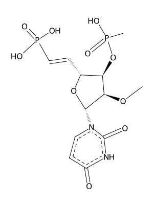 CO[C@@H]1[C@H](OP(C)(=O)O)[C@@H](/C=C/P(=O)(O)O)O[C@H]1n1ccc(=O)[nH]c1=O